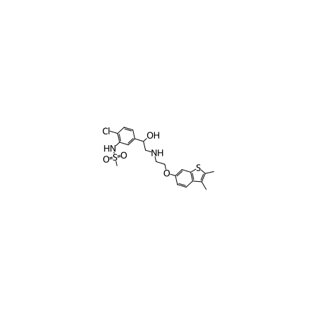 Cc1sc2cc(OCCNCC(O)c3ccc(Cl)c(NS(C)(=O)=O)c3)ccc2c1C